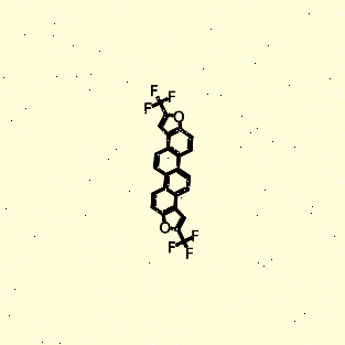 FC(F)(F)c1cc2c(ccc3c2ccc2c4ccc5oc(C(F)(F)F)cc5c4ccc32)o1